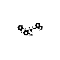 O=S1(=O)N=C(NCc2cccc3c2OCC3)Nc2c(Oc3ccccc3Cl)cccc21